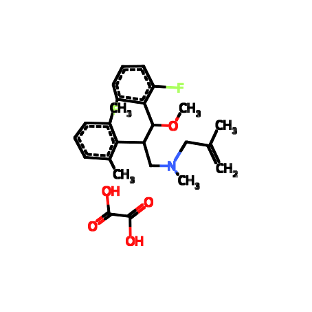 C=C(C)CN(C)CC(c1c(C)cccc1C)C(OC)c1c(F)cccc1F.O=C(O)C(=O)O